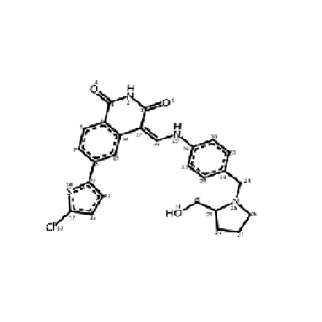 O=C1NC(=O)c2ccc(-c3ccc(Cl)s3)cc2C1=CNc1ccc(CN2CCCC2CO)cc1